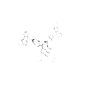 CC(C)(C)c1cc2ccc3c(-c4ccc(-n5c6ccc(F)cc6c6cc(F)ccc65)cc4)cc(-c4ccc(-n5c6ccc(F)cc6c6cc(F)ccc65)cc4)c4ccc(c1)c2c34